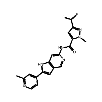 Cc1cc(-c2cc3cnc(NC(=O)c4cc(C(F)F)nn4C)cc3[nH]2)ccn1